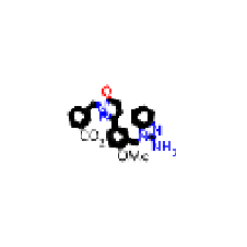 COc1ccc(-c2ccc(=O)n(Cc3cccc(C(=O)O)c3)n2)cc1Cn1c(N)nc2ccccc21